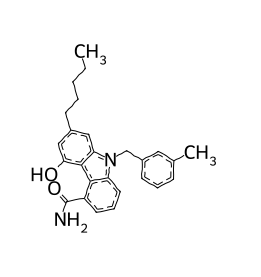 CCCCCc1cc(O)c2c3c(C(N)=O)cccc3n(Cc3cccc(C)c3)c2c1